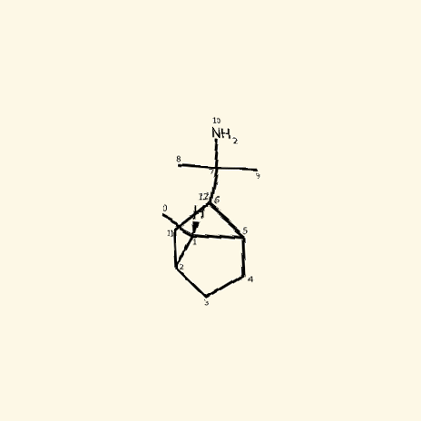 C[C@H]1C2CCC1C(C(C)(C)N)C2